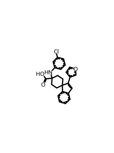 O=C(O)C1(Nc2cccc(Cl)c2)CCC2(CC1)C(c1ccoc1)=Cc1ccccc12